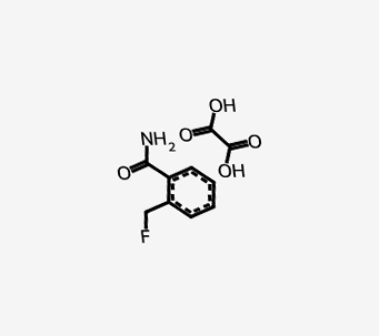 NC(=O)c1ccccc1CF.O=C(O)C(=O)O